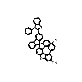 N#Cc1ccc(-c2cc(C#N)cc3oc4ccc5c(c4c23)-c2ccccc2C52c3ccccc3-c3cc(-c4nc5ccccc5n4-c4ccccc4)ccc32)cc1